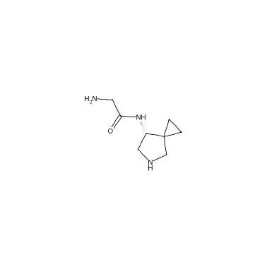 NCC(=O)N[C@H]1CNCC12CC2